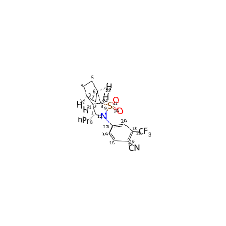 CCC[C@@H]1[C@H]2[C@H]3CC[C@H](C3)[C@H]2S(=O)(=O)N1c1ccc(C#N)c(C(F)(F)F)c1